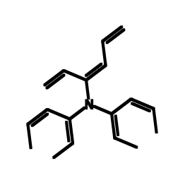 C=C/C=C(\C=C)N(C(/C=C\C)=C/C)C(/C=C\C)=C/C